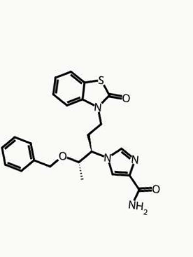 C[C@H](OCc1ccccc1)[C@@H](CCn1c(=O)sc2ccccc21)n1cnc(C(N)=O)c1